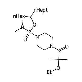 CCCCCCCC(CCCCCC)OP(=O)(N(C)C)N1CCN(C(=O)C(C)(C)OCC)CC1